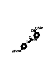 CCCCCc1ccc(OCC(=O)Nc2cccc(C(=O)OC)c2)cc1